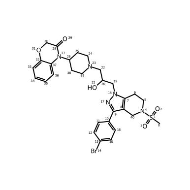 CS(=O)(=O)N1CCc2c(c(-c3ccc(Br)cc3)nn2CC(O)CN2CCC(N3C(=O)COc4ccccc43)CC2)C1